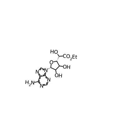 CCOC(=O)C(O)[C@H]1O[C@@H](n2cnc3c(N)ncnc32)C(O)C1O